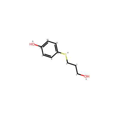 OCCCSc1ccc(O)cc1